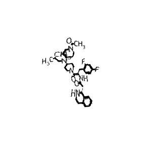 CC(=O)N1CCC(N(CC(C)C)C2CCN(C(=O)[C@@H](Cc3ccc(F)cc3F)NC(=O)C[C@H]3NCCc4ccccc43)CC2)CC1